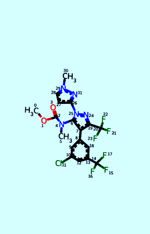 COC(=O)N(C)c1c(-c2cc(Cl)cc(C(F)(F)F)c2)c(C(F)(F)F)nn1-c1ccn(C)n1